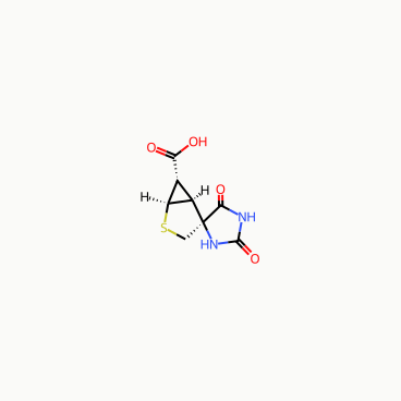 O=C1NC(=O)[C@@]2(CS[C@H]3[C@H](C(=O)O)[C@H]32)N1